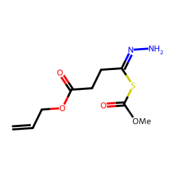 C=CCOC(=O)CC/C(=N/N)SC(=O)OC